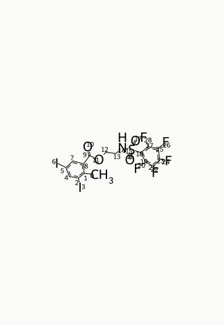 Cc1c(I)cc(I)cc1C(=O)OCCNS(=O)(=O)c1c(F)c(F)c(F)c(F)c1F